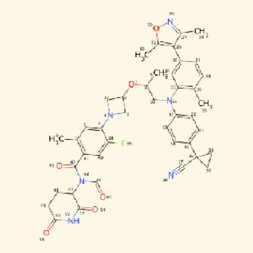 Cc1cc(N2CC(OC(C)CN(c3ccc(C4(C#N)CC4)cc3)c3cc(-c4c(C)noc4C)ccc3C)C2)c(F)cc1C(=O)N(C=O)C1CCC(=O)NC1=O